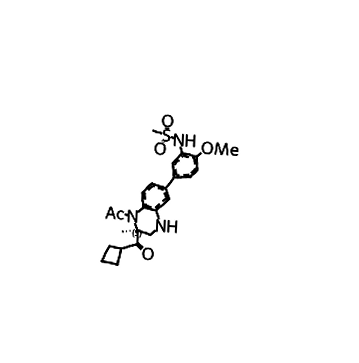 COc1ccc(-c2ccc3c(c2)NC[C@@](C)(C(=O)C2CCC2)N3C(C)=O)cc1NS(C)(=O)=O